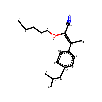 CCCCCO/C(C#N)=C(/C)c1ccc(CC(C)C)cc1